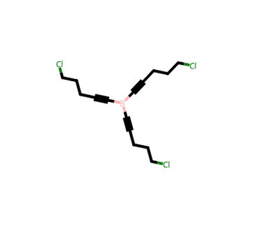 ClCCCC#CB(C#CCCCCl)C#CCCCCl